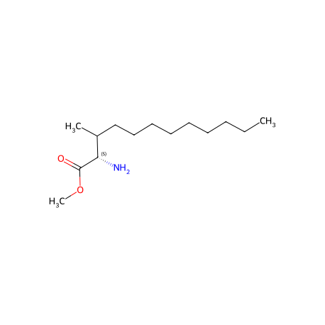 CCCCCCCCCC(C)[C@H](N)C(=O)OC